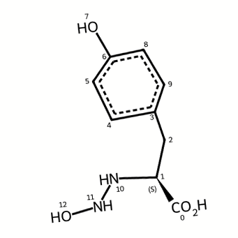 O=C(O)[C@H](Cc1ccc(O)cc1)NNO